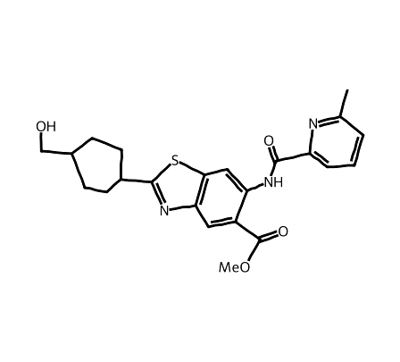 COC(=O)c1cc2nc(C3CCC(CO)CC3)sc2cc1NC(=O)c1cccc(C)n1